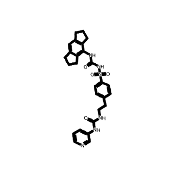 O=C(NCCc1ccc(S(=O)(=O)NC(=O)Nc2c3c(cc4c2CCC4)CCC3)cc1)Nc1cccnc1